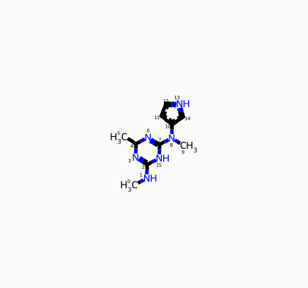 CNC1=NC(C)N=C(N(C)c2cc[nH]c2)N1